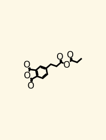 CCC(=O)OC(=O)CCc1ccc2c(c1)C(=O)OC2=O